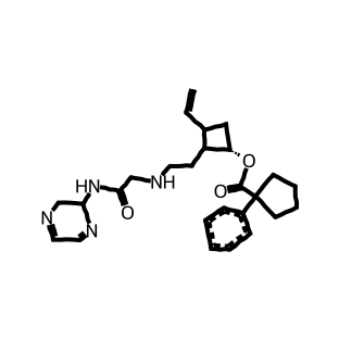 C=CC1C[C@H](OC(=O)C2(c3ccccc3)CCCC2)C1CCNCC(=O)NC1CN=CC=N1